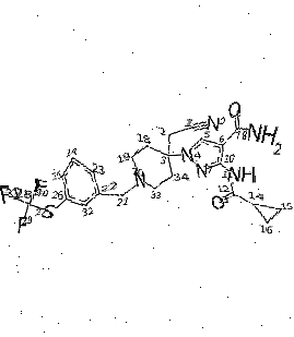 N#CCC1(n2cc(C(N)=O)c(NC(=O)C3CC3)n2)CCN(Cc2cccc(SC(F)(F)F)c2)CC1